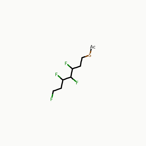 CC(=O)SCCC(F)C(F)C(F)CCF